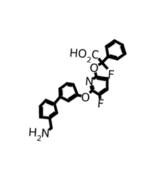 CC(Oc1nc(Oc2cccc(-c3cccc(CN)c3)c2)c(F)cc1F)(C(=O)O)c1ccccc1